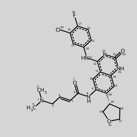 CN(C)C/C=C/C(=O)Nc1cc2c(Nc3ccc(F)c(Cl)c3)nc(=O)[nH]c2cc1[C@@H]1CCOC1